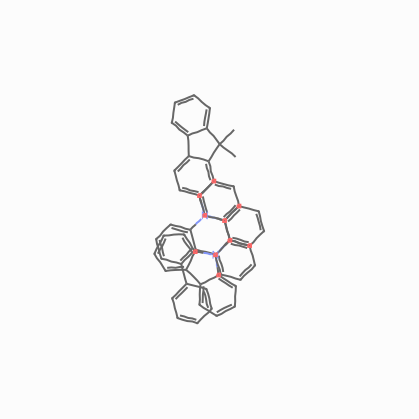 CC1(C)c2ccccc2-c2ccc(N(c3ccccc3-n3c4ccccc4c4ccccc43)c3cccc(-c4ccccc4)c3-c3ccccc3-c3ccccc3)cc21